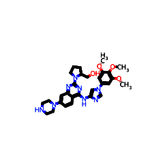 COc1cc(-n2cnc(Nc3nc(N4CCCC4CO)nc4cc(N5CCNCC5)ccc34)c2)cc(OC)c1OC